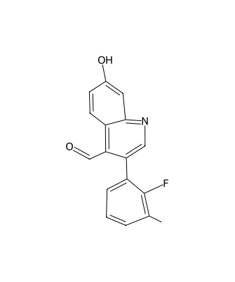 Cc1cccc(-c2cnc3cc(O)ccc3c2C=O)c1F